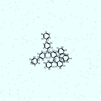 c1ccc(-c2ccc(N(c3ccc(-c4ccncc4)cc3)c3ccc4c(c3)N(c3ccccc3)c3ccccc3C4(c3ccccc3)c3ccccc3)cc2)cc1